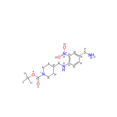 CC(C)(C)OC(=O)N1CCC(CNc2ccc(SN)cc2[N+](=O)[O-])CC1